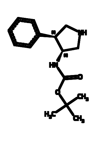 CC(C)(C)OC(=O)N[C@H]1CNC[C@@H]1c1ccccc1